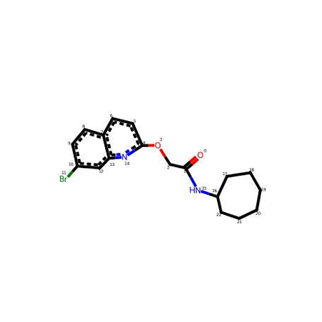 O=C(COc1ccc2ccc(Br)cc2n1)NC1CCCCCC1